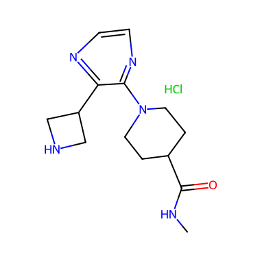 CNC(=O)C1CCN(c2nccnc2C2CNC2)CC1.Cl